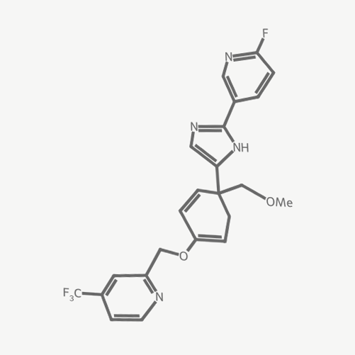 COCC1(c2cnc(-c3ccc(F)nc3)[nH]2)C=CC(OCc2cc(C(F)(F)F)ccn2)=CC1